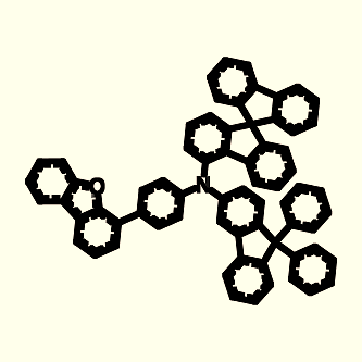 c1ccc(C2(c3ccccc3)c3ccccc3-c3cc(N(c4ccc(-c5cccc6c5oc5ccccc56)cc4)c4cccc5c4-c4ccccc4C54c5ccccc5-c5ccccc54)ccc32)cc1